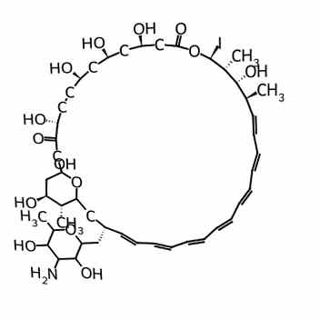 CC1OC(C[C@H]2/C=C/C=C/C=C/C=C/C=C/C=C/C=C/[C@H](C)[C@@H](O)[C@@H](C)[C@H](I)OC(=O)C[C@H](O)C[C@H](O)C[C@H](O)CC[C@@H](O)C(=O)C[C@]3(O)C[C@H](O)[C@@H](C)C(C2)O3)C(O)C(N)C1O